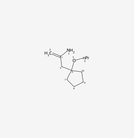 C=C(N)CC1(OCCC)CCCC1